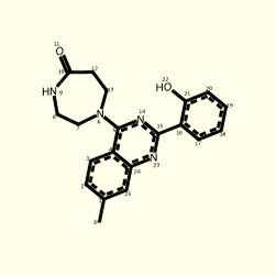 Cc1ccc2c(N3CCNC(=O)CC3)nc(-c3ccccc3O)nc2c1